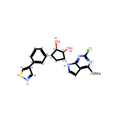 CNc1nc(Cl)nc2c1ccn2[C@@H]1C[C@H](c2cccc(-c3cnsc3)c2)[C@@H](O)[C@H]1O